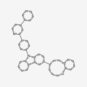 c1ccc(-c2ccnc(-c3ccc(-n4c5ccccc5c5cc(-c6cccoc7ccccc7cc6)ccc54)cc3)c2)cc1